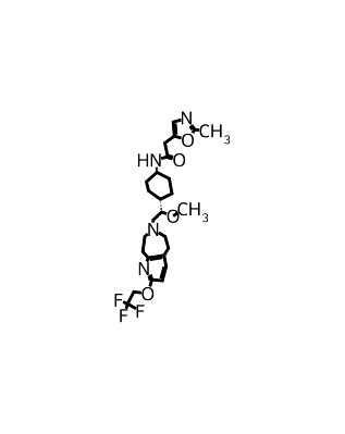 COC(CN1CCc2ccc(OCC(F)(F)F)nc2CC1)[C@H]1CC[C@H](NC(=O)Cc2cnc(C)o2)CC1